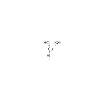 Cl.I.[Cu].[RbH]